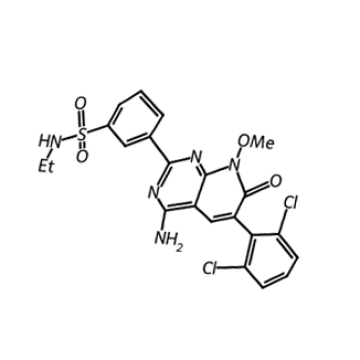 CCNS(=O)(=O)c1cccc(-c2nc(N)c3cc(-c4c(Cl)cccc4Cl)c(=O)n(OC)c3n2)c1